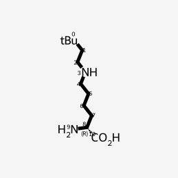 CC(C)(C)CCNCCCC[C@@H](N)C(=O)O